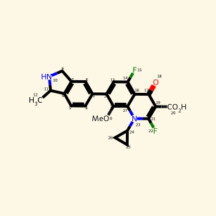 COc1c(-c2ccc3c(c2)CNC3C)cc(F)c2c(=O)c(C(=O)O)c(F)n(C3CC3)c12